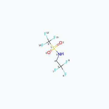 O=S(=O)(NCC(F)(F)F)C(F)(F)F